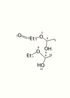 C=O.CCOC(C)O.CCOC(C)O